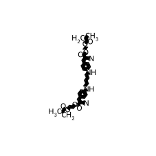 C=C(C)C(=O)OCCOC(=O)/C(C#N)=C/c1ccc(NCCCCCNc2ccc(/C=C(\C#N)C(=O)OCCOC(=O)C(=C)C)cc2)cc1